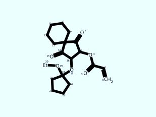 C=CC(=O)OC1C(=O)C2(CCCCC2)C(=O)C1OC1(OCC)CCCC1